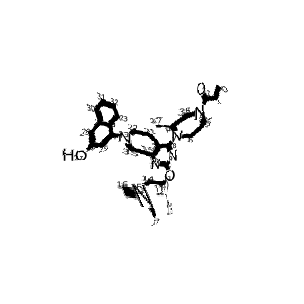 C=CC(=O)N1CCN(c2nc(O[C@H](C)CN(C)C)nc3c2CCN(c2cc(O)cc4ccccc24)C3)[C@@H](C)C1